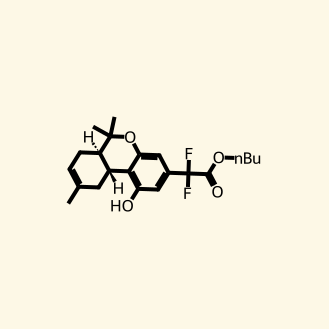 CCCCOC(=O)C(F)(F)c1cc(O)c2c(c1)OC(C)(C)[C@@H]1CC=C(C)C[C@@H]21